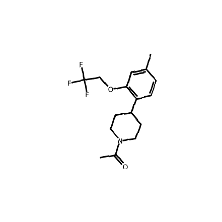 CC(=O)N1CCC(c2ccc(C)cc2OCC(F)(F)F)CC1